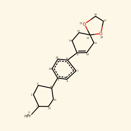 CCCC1CCC(c2ccc(C3=CCC4(CC3)OCCO4)cc2)CC1